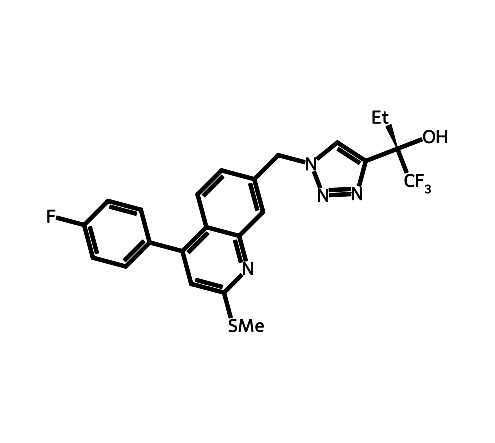 CC[C@](O)(c1cn(Cc2ccc3c(-c4ccc(F)cc4)cc(SC)nc3c2)nn1)C(F)(F)F